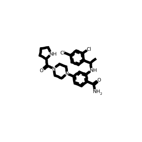 CC(Nc1cc(N2CCN(C(=O)C3CCCN3)CC2)ccc1C(N)=O)c1ccc(Cl)cc1Cl